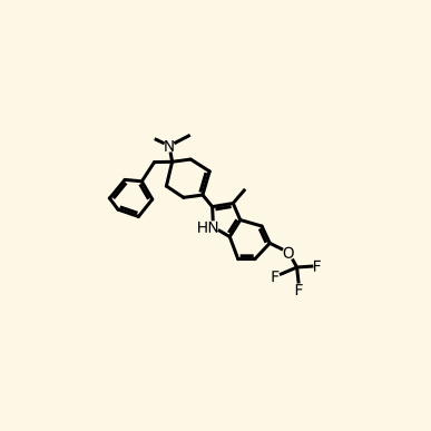 Cc1c(C2=CCC(Cc3ccccc3)(N(C)C)CC2)[nH]c2ccc(OC(F)(F)F)cc12